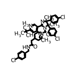 CCOc1cc(C(C)(C)C)ncc1C1=N[C@@](C)(c2ccc(Cl)cc2)[C@@](C)(c2ccc(Cl)cc2)N1C(=O)N1CCC(CC(=O)NCc2ccc(Cl)cc2)CC1